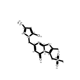 Cc1sc2nc(Cn3nc(C(F)(F)F)cc3Cl)cc(=O)n2c1CS(C)(=O)=O